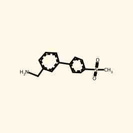 CS(=O)(=O)c1ccc(-c2cccc(CN)c2)cc1